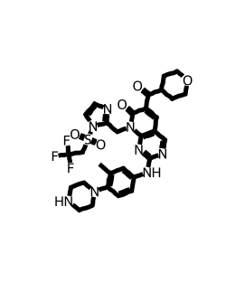 Cc1cc(Nc2ncc3cc(C(=O)C4CCOCC4)c(=O)n(Cc4nccn4S(=O)(=O)CC(F)(F)F)c3n2)ccc1N1CCNCC1